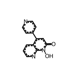 O=c1cc(-c2ccncc2)c2cccnc2n1O